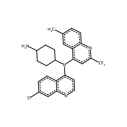 Cc1ccc2nc(C(F)(F)F)cc(N(c3ccnc4cc(Cl)ccc34)C3CCC(N)CC3)c2c1